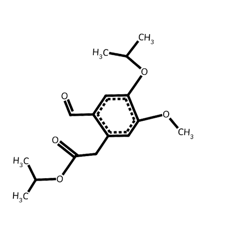 COc1cc(CC(=O)OC(C)C)c(C=O)cc1OC(C)C